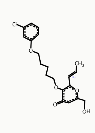 C/C=C/c1oc(CO)cc(=O)c1OCCCCCOc1cccc(Cl)c1